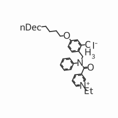 CCCCCCCCCCCCCCOc1ccc(CN(C(=O)c2ccc[n+](CC)c2)c2ccccc2)c(C)c1.[I-]